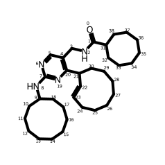 O=C(NCc1cnc(NC2CCCCCCCCC2)nc1C1/C=C/CCCCCCC1)C1CCCCCCC1